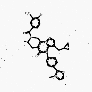 C[C@@H]1Cc2c(n3ncc(CC4CC4)c3n(-c3ccc(-c4nccn4C)cc3)c2=O)CN1C(=O)c1ccc(Br)c(C(F)(F)F)c1